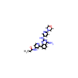 C=CC(=O)Nc1ccnc(-c2cccc3c(N)nc(Nc4ccc(N5CCOCC5)nc4)nc23)c1